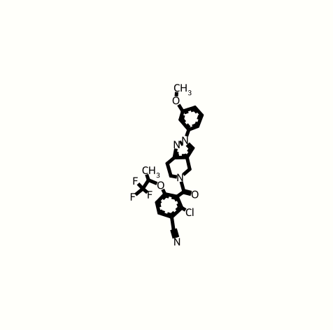 COc1cccc(-n2cc3c(n2)CCN(C(=O)c2c(OC(C)C(F)(F)F)ccc(C#N)c2Cl)C3)c1